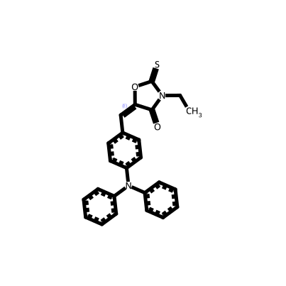 CCN1C(=O)/C(=C\c2ccc(N(c3ccccc3)c3ccccc3)cc2)OC1=S